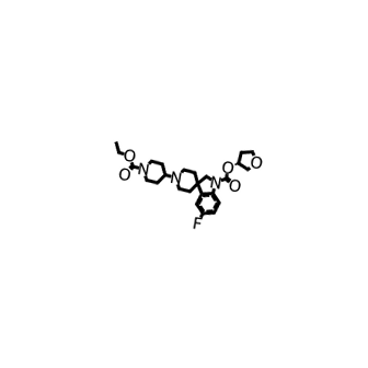 CCOC(=O)N1CCC(N2CCC3(CC2)CN(C(=O)O[C@@H]2CCOC2)c2ccc(F)cc23)CC1